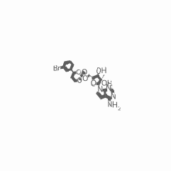 C[C@@]1(O)[C@H](O)[C@@H](COP2(=O)OCC[C@@H](c3cccc(Br)c3)O2)O[C@H]1n1ccc2c(N)ncnc21